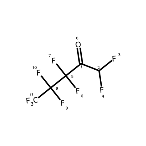 O=C(C(F)F)C(F)(F)C(F)(F)C(F)(F)F